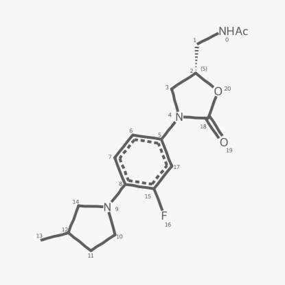 CC(=O)NC[C@H]1CN(c2ccc(N3CCC(C)C3)c(F)c2)C(=O)O1